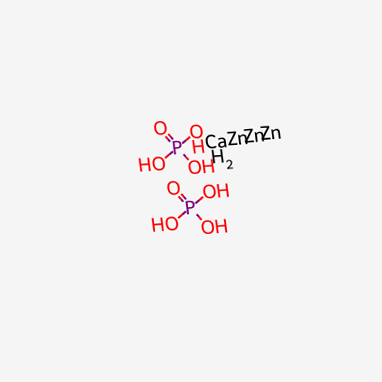 O=P(O)(O)O.O=P(O)(O)O.[CaH2].[Zn].[Zn].[Zn]